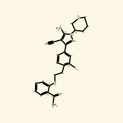 N#Cc1c(-c2ccc(CCOc3ccccc3C(N)=O)c(F)c2)nn(C2CCCOC2)c1N